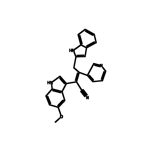 COc1ccc2[nH]cc(/C(C#N)=C(\Cc3cc4ccccc4[nH]3)c3cccnc3)c2c1